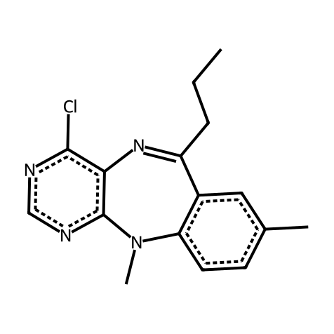 CCCC1=Nc2c(Cl)ncnc2N(C)c2ccc(C)cc21